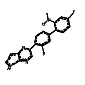 C[S+]([O-])c1cc(F)ccc1-c1ccc(-c2cnc3[nH]ccc3n2)c(F)c1